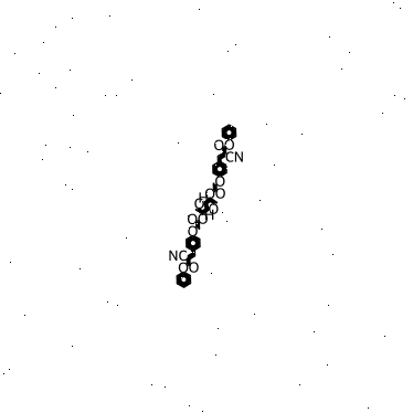 N#C/C(=C\c1ccc(OCC(=O)O[C@@H]2CO[C@H]3[C@@H]2OC[C@H]3OC(=O)COc2ccc(/C=C(\C#N)C(=O)Oc3ccccc3)cc2)cc1)C(=O)Oc1ccccc1